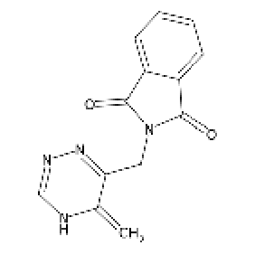 C=C1NC=NN=C1CN1C(=O)c2ccccc2C1=O